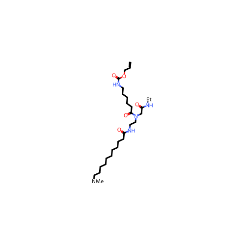 C=CCOC(=O)NCCCCCC(=O)N(CCNC(=O)CCCCCCCCCCNC)CC(=O)NCC